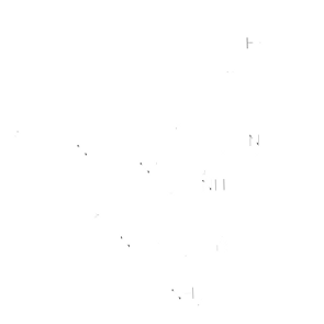 Cc1nc(Nc2nc(N3CCCCC3)cnc2C(N)=O)ccc1F